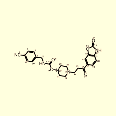 N#Cc1ccc(CNC(=O)ON2CCN(CCC(=O)c3ccc4[nH]c(=O)oc4c3)CC2)cc1